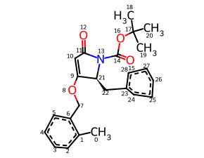 Cc1ccccc1COC1=CC(=O)N(C(=O)OC(C)(C)C)[C@H]1Cc1ccccc1